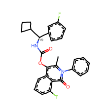 Cc1c(OC(=O)N[C@H](c2cccc(F)c2)C2CCC2)c2cccc(F)c2c(=O)n1-c1ccccc1